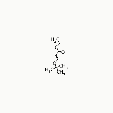 CCOC(=O)C=CO[Si](C)(C)C